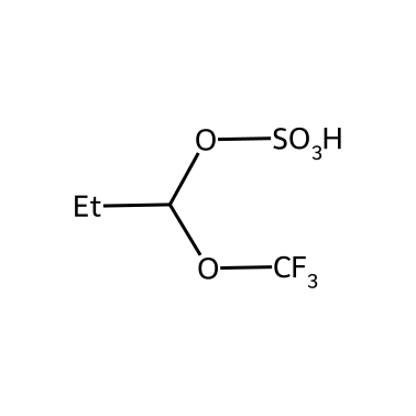 CCC(OC(F)(F)F)OS(=O)(=O)O